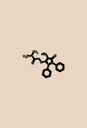 CCCCc1c(OCC(=O)N(C)C)n(-c2ccccc2)n(-c2ccccc2)c1=O